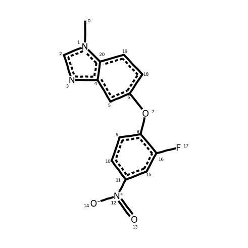 Cn1cnc2cc(Oc3ccc([N+](=O)[O-])cc3F)ccc21